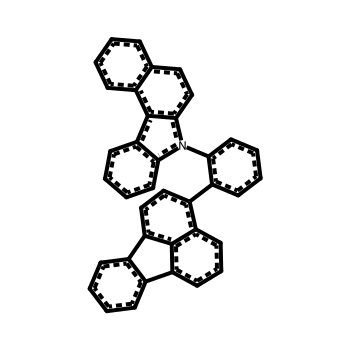 c1ccc2c(c1)-c1cccc3c(-c4ccccc4-n4c5ccccc5c5c6ccccc6ccc54)ccc-2c13